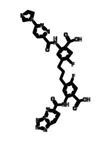 O=C(Nc1cc(CCCc2cc(NC(=O)c3ccc4nnnn4n3)c(C(=O)O)cc2F)c(F)cc1C(=O)O)c1ccc(-n2ccnc2)nn1